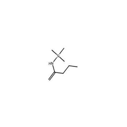 C=C(CCC)N[Si](C)(C)C